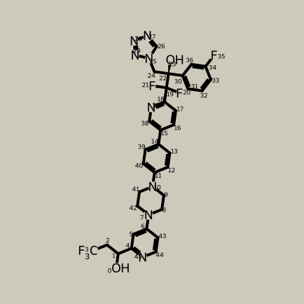 OC(CC(F)(F)F)c1cc(N2CCN(c3ccc(-c4ccc(C(F)(F)[C@](O)(Cn5cnnn5)c5cccc(F)c5)nc4)cc3)CC2)ccn1